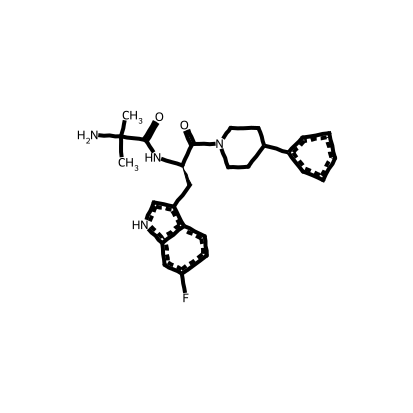 CC(C)(N)C(=O)N[C@H](Cc1c[nH]c2cc(F)ccc12)C(=O)N1CCC(c2ccccc2)CC1